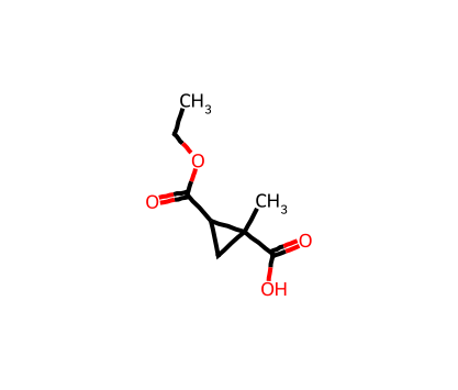 CCOC(=O)C1CC1(C)C(=O)O